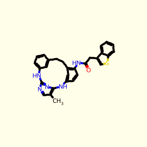 Cc1cnc2nc1Nc1ccc(NC(=O)Cc3csc4ccccc34)c(c1)CCc1cccc(c1)N2